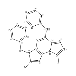 Cc1cc2c(cc(Nc3ccccc3)c3nnc(C)n32)n1Cc1ccccc1